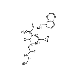 C[C@H](NC(=O)[C@H](CC(=O)NOC(C)(C)C)NC(=O)C1CO1)C(=O)NCc1cccc2ccccc12